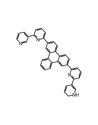 C1=CC(c2cccc(-c3ccc4c5ccc(-c6cccc(-c7cccnc7)n6)cc5c5ccccc5c4c3)n2)=CNC1